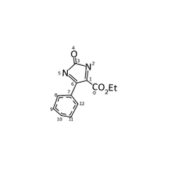 CCOC(=O)C1=NC(=O)N=C1c1ccccc1